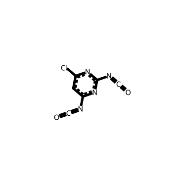 O=C=Nc1cc(Cl)nc(N=C=O)n1